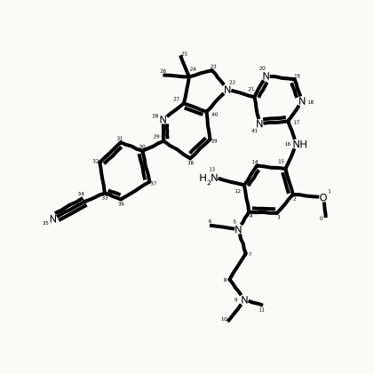 COc1cc(N(C)CCN(C)C)c(N)cc1Nc1ncnc(N2CC(C)(C)c3nc(-c4ccc(C#N)cc4)ccc32)n1